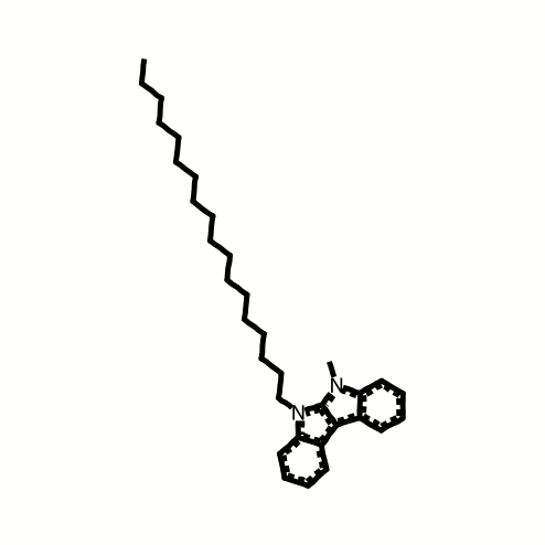 CCCCCCCCCCCCCCCCCCn1c2ccccc2c2c3ccccc3n(C)c21